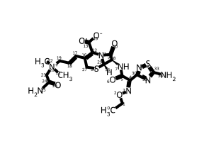 CCO/N=C(\C(=O)N[C@@H]1C(=O)N2C(C(=O)[O-])=C(/C=C/C[N+](C)(C)CC(N)=O)CS[C@@H]12)c1nsc(N)n1